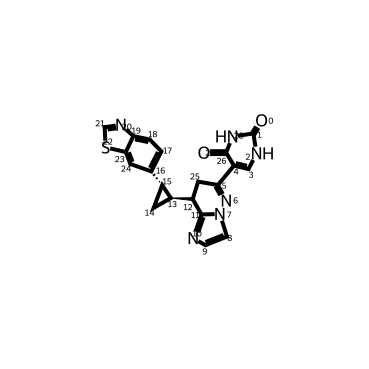 O=c1[nH]cc(C2=Nn3ccnc3C([C@H]3C[C@@H]3c3ccc4ncsc4c3)C2)c(=O)[nH]1